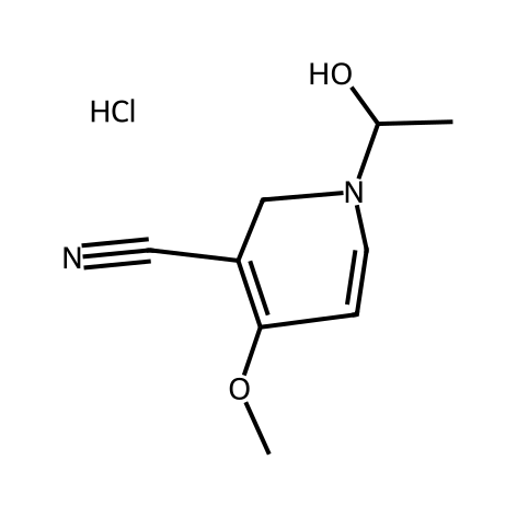 COC1=C(C#N)CN(C(C)O)C=C1.Cl